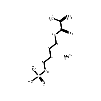 C=C(C)C(=O)OCCCCOP(=O)([O-])[O-].[Mg+2]